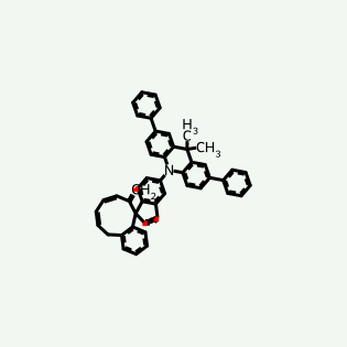 C=C1/C=C\C=C/Cc2ccccc2C12c1ccccc1-c1cc(N3c4ccc(-c5ccccc5)cc4C(C)(C)c4cc(-c5ccccc5)ccc43)ccc12